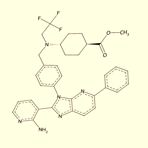 COC(=O)[C@H]1CC[C@H](N(Cc2ccc(-n3c(-c4cccnc4N)nc4ccc(-c5ccccc5)nc43)cc2)CC(F)(F)F)CC1